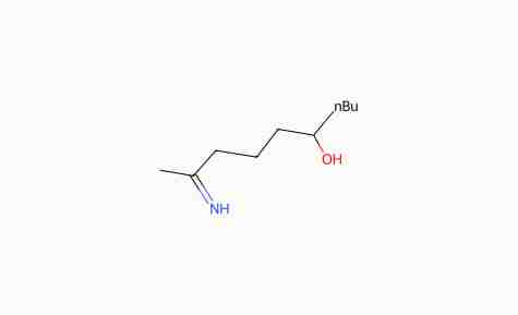 CCCCC(O)CCCC(C)=N